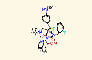 CONc1ccc(-c2sc3c(c2CN(C)CCc2ccccn2)c(=O)n(CC(C)O)c(=O)n3Cc2c(F)cccc2F)cc1